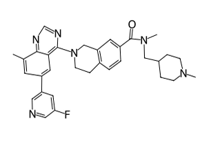 Cc1cc(-c2cncc(F)c2)cc2c(N3CCc4ccc(C(=O)N(C)CC5CCN(C)CC5)cc4C3)ncnc12